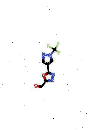 O=Cc1nnc(-c2cnn(C(F)(F)F)c2)o1